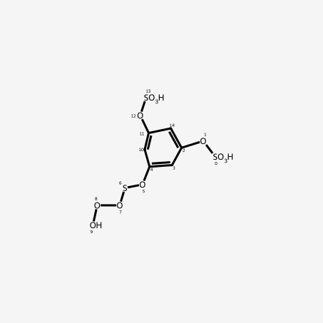 O=S(=O)(O)Oc1cc(OSOOO)cc(OS(=O)(=O)O)c1